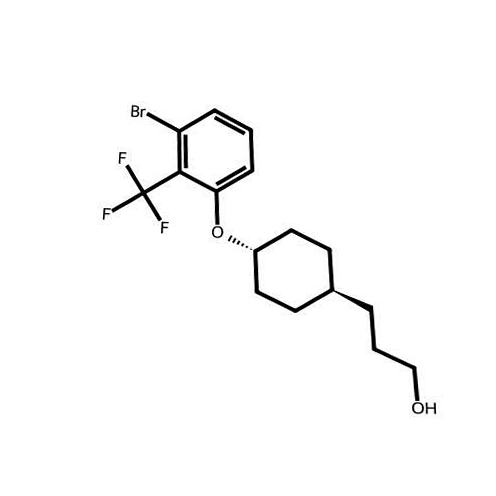 OCCC[C@H]1CC[C@H](Oc2cccc(Br)c2C(F)(F)F)CC1